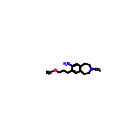 COCCCc1cc2c(cc1N)CCN(C)CC2